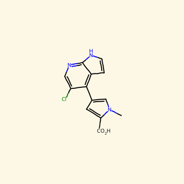 Cn1cc(-c2c(Cl)cnc3[nH]ccc23)cc1C(=O)O